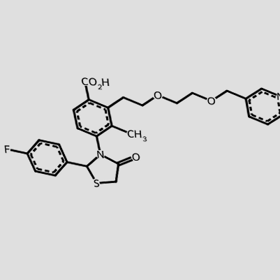 Cc1c(N2C(=O)CSC2c2ccc(F)cc2)ccc(C(=O)O)c1CCOCCOCc1cccnc1